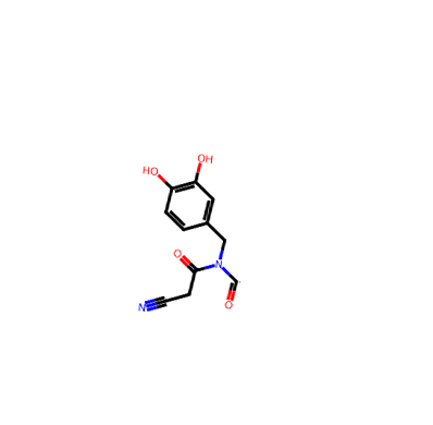 N#CCC(=O)N([C]=O)Cc1ccc(O)c(O)c1